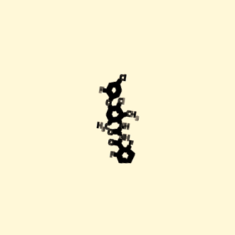 Cc1cc(Oc2ccc(Cl)cc2F)c(Cl)c(C)c1NC(=O)NC(=O)c1c(F)cccc1F